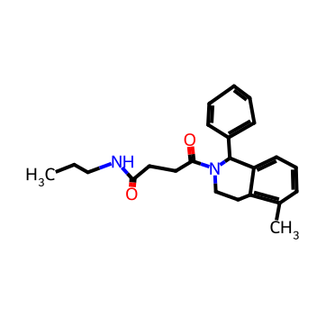 CCCNC(=O)CCC(=O)N1CCc2c(C)cccc2C1c1ccccc1